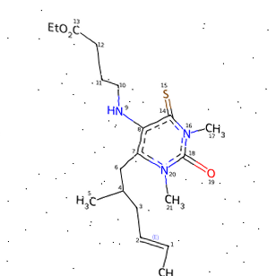 C/C=C/CC(C)Cc1c(NCCCC(=O)OCC)c(=S)n(C)c(=O)n1C